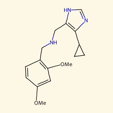 COc1ccc(CNCc2[nH]cnc2C2CC2)c(OC)c1